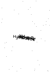 CCC(C)NC(=O)CCc1ccc(OCc2ccc(NC(=N)N)cc2)cc1